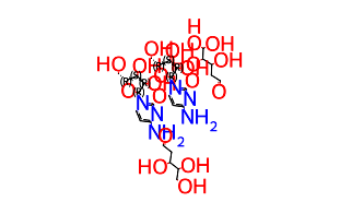 Nc1ccn([C@@H]2O[C@H](CO)[C@@H](O)[C@H]2O)c(=O)n1.Nc1ccn([C@@H]2O[C@H](CO)[C@@H](O)[C@H]2O)c(=O)n1.O=CCC(O)C(O)C(O)O.O=CCC(O)C(O)CO